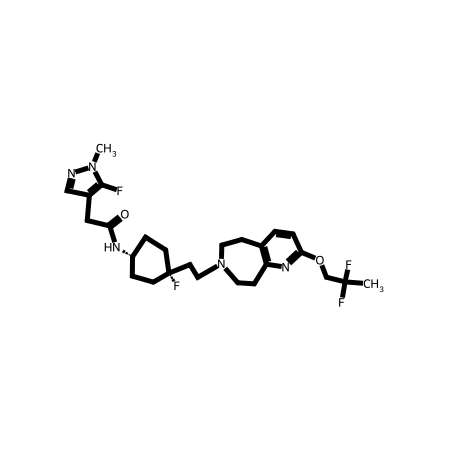 Cn1ncc(CC(=O)N[C@H]2CC[C@](F)(CCN3CCc4ccc(OCC(C)(F)F)nc4CC3)CC2)c1F